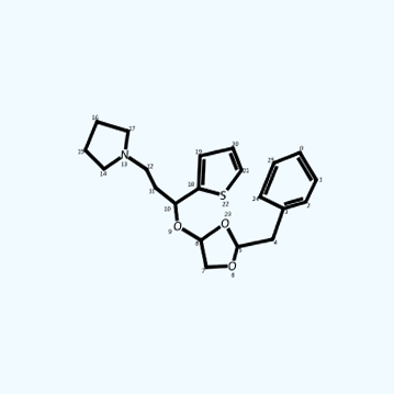 c1ccc(CC2OCC(OC(CCN3CCCC3)c3cccs3)O2)cc1